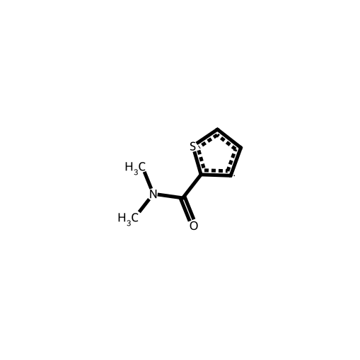 CN(C)C(=O)c1[c]ccs1